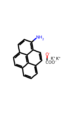 Nc1ccc2ccc3cccc4ccc1c2c34.O=C([O-])[O-].[K+].[K+]